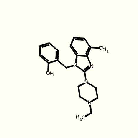 CCN1CCN(c2nc3c(C)cccc3n2Cc2ccccc2O)CC1